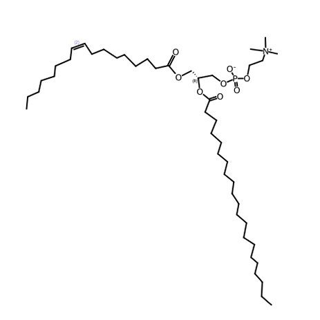 CCCCCCC/C=C\CCCCCCCC(=O)OC[C@H](COP(=O)([O-])OCC[N+](C)(C)C)OC(=O)CCCCCCCCCCCCCCCCCCCC